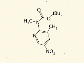 Cc1cc([N+](=O)[O-])cnc1N(C)C(=O)OC(C)(C)C